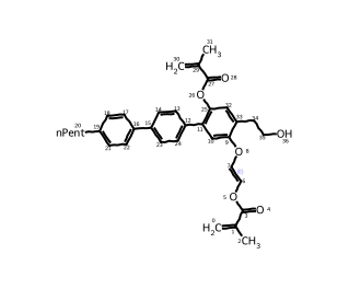 C=C(C)C(=O)O/C=C/Oc1cc(-c2ccc(-c3ccc(CCCCC)cc3)cc2)c(OC(=O)C(=C)C)cc1CCO